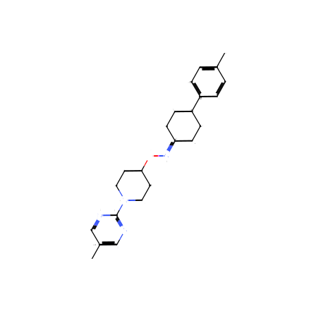 Cc1ccc(C2CCC(=NOC3CCN(c4ncc(C)cn4)CC3)CC2)cc1